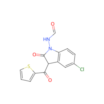 O=CNN1C(=O)C(C(=O)c2cccs2)c2cc(Cl)ccc21